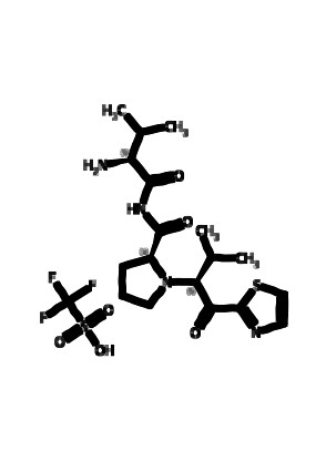 CC(C)[C@H](N)C(=O)NC(=O)[C@@H]1CCCN1[C@H](C(=O)c1nccs1)C(C)C.O=S(=O)(O)C(F)(F)F